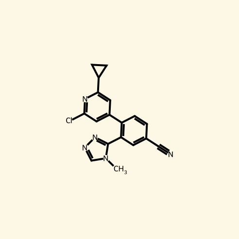 Cn1cnnc1-c1cc(C#N)ccc1-c1cc(Cl)nc(C2CC2)c1